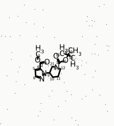 COC(=O)c1ccnn1C1CCCN(C(=O)OC(C)(C)C)C1